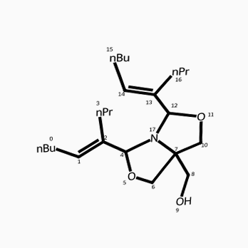 CCCCC=C(CCC)C1OCC2(CO)COC(C(=CCCCC)CCC)N12